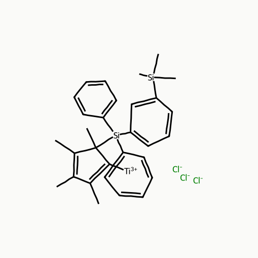 CC1=C(C)C(C)([Si](c2ccccc2)(c2ccccc2)c2cccc([Si](C)(C)C)c2)[C]([Ti+3])=C1C.[Cl-].[Cl-].[Cl-]